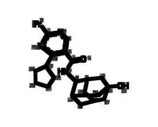 CC(C)c1ncc(C(=O)NC2C3CC4CC2CC(O)(C4)C3)c(C2CCCC2)n1